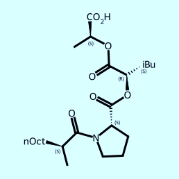 CCCCCCCC[C@H](C)C(=O)N1CCC[C@H]1C(=O)O[C@@H](C(=O)O[C@@H](C)C(=O)O)[C@@H](C)CC